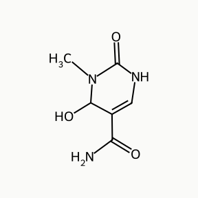 CN1C(=O)NC=C(C(N)=O)C1O